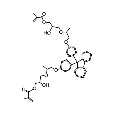 C=C(C)C(=O)OCC(O)COC(C)COc1ccc(C2(c3ccc(OCC(C)OCC(O)COC(=O)C(=C)C)cc3)c3ccccc3-c3ccccc32)cc1